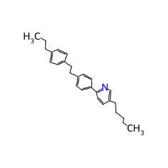 CCCCCc1ccc(-c2ccc(CCc3ccc(CCC)cc3)cc2)nc1